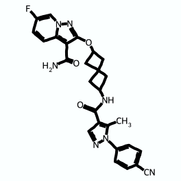 Cc1c(C(=O)NC2CC3(C2)CC(Oc2nn4cc(F)ccc4c2C(N)=O)C3)cnn1-c1ccc(C#N)cc1